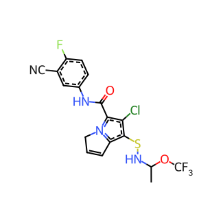 CC(NSc1c(Cl)c(C(=O)Nc2ccc(F)c(C#N)c2)n2c1C=CC2)OC(F)(F)F